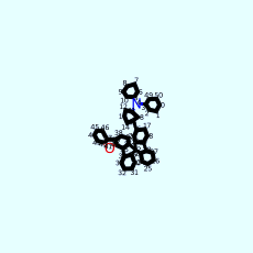 c1ccc(N(c2ccccc2)c2cccc(-c3ccc4c(c3)C3(c5ccccc5-4)c4ccccc4-c4c3ccc3c4oc4ccccc43)c2)cc1